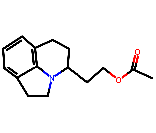 CC(=O)OCCC1CCc2cccc3c2N1CC3